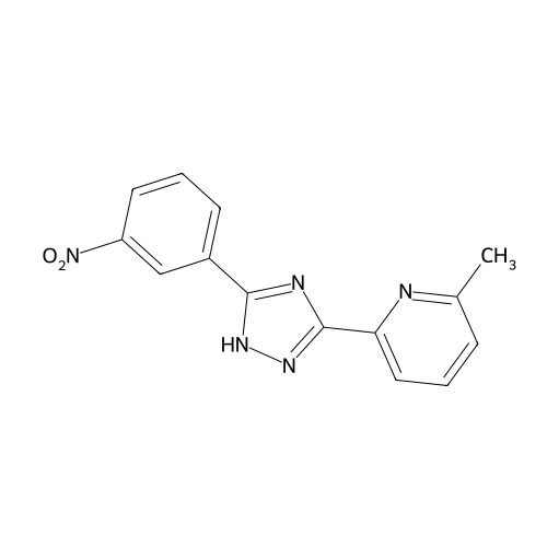 Cc1cccc(-c2n[nH]c(-c3cccc([N+](=O)[O-])c3)n2)n1